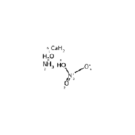 N.O.O=[N+]([O-])O.[CaH2]